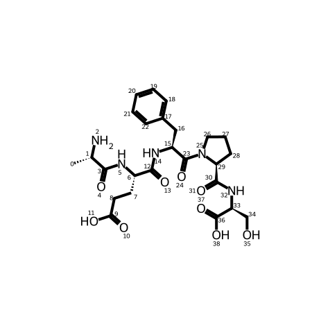 C[C@H](N)C(=O)N[C@@H](CCC(=O)O)C(=O)N[C@@H](Cc1ccccc1)C(=O)N1CCC[C@H]1C(=O)N[C@@H](CO)C(=O)O